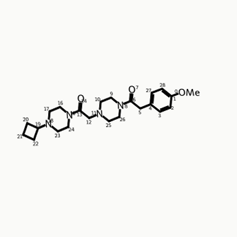 COc1ccc(CC(=O)N2CCN(CC(=O)N3CCN(C4CCC4)CC3)CC2)cc1